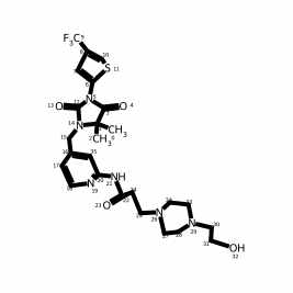 CC1(C)C(=O)N(c2cc(C(F)(F)F)cs2)C(=O)N1Cc1ccnc(NC(=O)CCN2CCN(CCO)CC2)c1